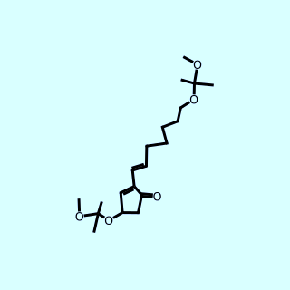 COC(C)(C)OCCCCCC=CC1=CC(OC(C)(C)OC)CC1=O